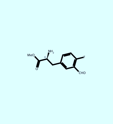 COC(=O)[C@@H](N)Cc1ccc(F)c(C=O)c1